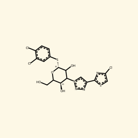 OCC1O[C@H](Sc2ccc(Cl)c(Cl)c2)C(O)C(n2cc(-c3nc(Cl)cs3)nn2)[C@H]1O